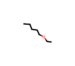 CCCC[CH]OCC